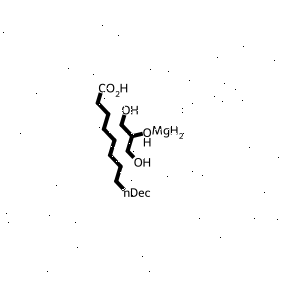 CCCCCCCCCCCCCCCCCC(=O)O.OCC(O)CO.[MgH2]